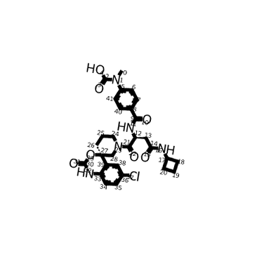 CN(C(=O)O)c1ccc(C(=O)N[C@@H](CC(=O)NC2CCC2)C(=O)N2CCC[C@@]3(C2)OC(=O)Nc2ccc(Cl)cc23)cc1